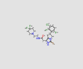 O=C(Cc1[nH]c(=S)n2c1CC(c1c(F)ccc(Cl)c1F)C2)NCCN1CCC(F)(F)CC1